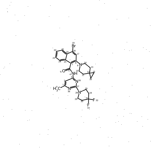 Cc1cc(NC(=O)c2c(N3CCC4(CC3)CC4)cc(Br)c3ccccc23)nc(N2CCC(F)(F)CC2)n1